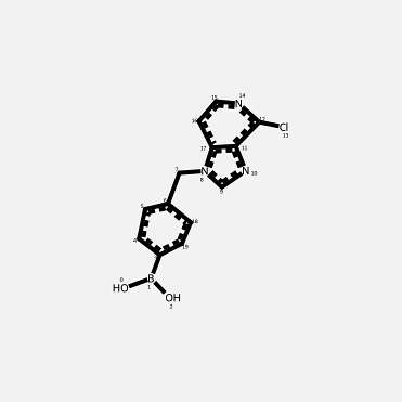 OB(O)c1ccc(Cn2cnc3c(Cl)nccc32)cc1